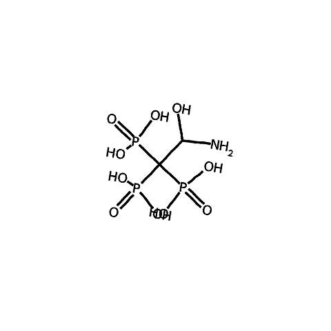 NC(O)C(P(=O)(O)O)(P(=O)(O)O)P(=O)(O)O